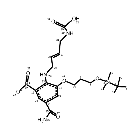 CC(C)(C)[Si](C)(C)OCCCOc1cc(C(N)=O)cc([N+](=O)[O-])c1NC/C=C/CNC(=O)O